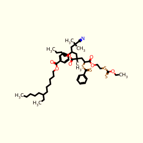 CCCCCC(CC)CCCCCCOC(=O)c1ccc(C(CC(C)(C)C#N)CC(C)(CC(SC(=S)c2ccccc2)C(=O)OCCSC(=S)OCC)C(=O)OCCCC)cc1